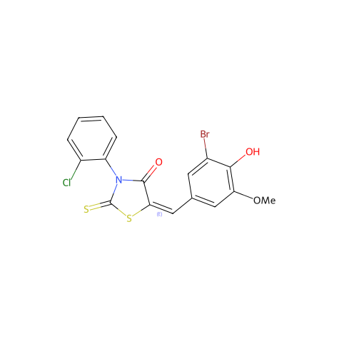 COc1cc(/C=C2/SC(=S)N(c3ccccc3Cl)C2=O)cc(Br)c1O